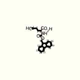 C#CCC[C@H](NC(=O)OCC1c2ccccc2-c2ccccc21)C(=O)O